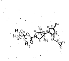 CC(C)(C)OC(=O)N1C[C@@H]2C(c3cc(I)nn3CC3CC3)[C@@H]2C1